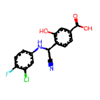 N#CC(Nc1ccc(F)c(Cl)c1)c1ccc(C(=O)O)cc1O